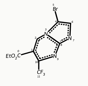 CCOC(=O)c1cn2c(Br)cnc2nc1C(F)(F)F